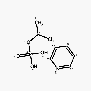 CC(Cl)OP(=O)(O)O.c1ccncc1